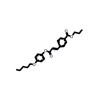 [CH2]CCOC(=O)c1ccc(/C=C/C(=O)Oc2ccc(OCCCCC)cc2)cc1